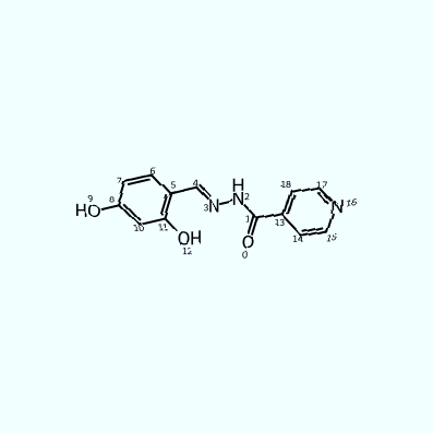 O=C(N/N=C/c1ccc(O)cc1O)c1ccncc1